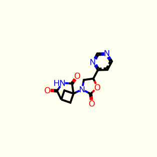 O=C1NC(=O)C2(N3CC(c4ccncn4)OC3=O)CC1C2